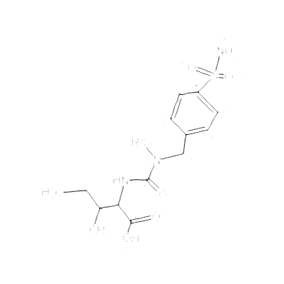 CCC(C)C(NC(=O)N(S)Cc1ccc(S(N)(=O)=O)cc1)C(=O)O